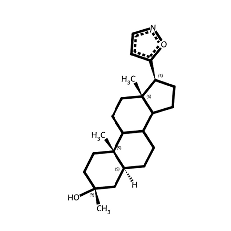 C[C@@]1(O)CC[C@]2(C)C3CC[C@@]4(C)C(CC[C@@H]4c4ccno4)C3CC[C@H]2C1